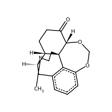 CN1CC[C@]23c4c5cccc4OCO[C@H]2C(=O)CC[C@H]3[C@H]1C5